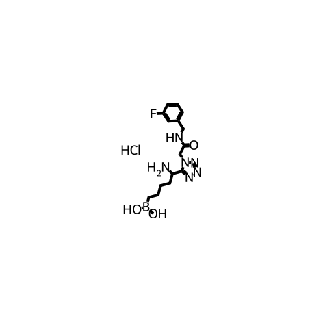 Cl.NC(CCCCB(O)O)c1nnnn1CC(=O)NCc1cccc(F)c1